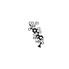 CCOC(=O)CNC(=O)c1cc(Cl)c(C(=O)c2c[nH]c3c(NC(=O)C4CC4)nccc23)c(Cl)c1